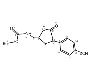 CC(C)(C)OC(=O)NCC1CN(c2ccc(C#N)cc2)C(=O)O1